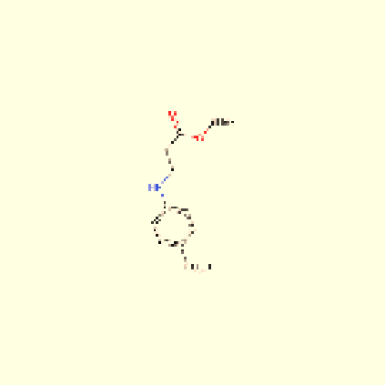 CCCCCCOC(=O)CCNc1ccc(C(=O)OCC)cc1